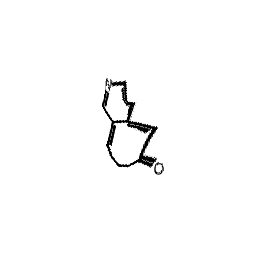 O=C1C=c2ccncc2=CC1